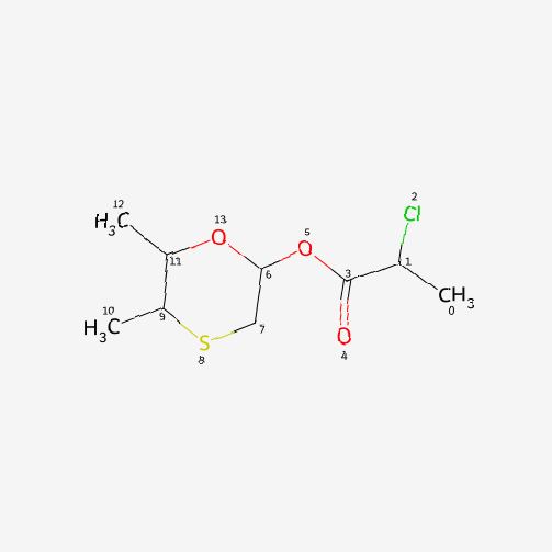 CC(Cl)C(=O)OC1CSC(C)C(C)O1